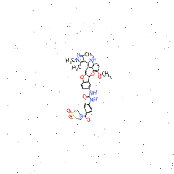 COc1ccc2[nH]c(-c3c(C)nn(C)c3C)c(C=C3Oc4ccc(NC(=O)Nc5ccc(C(=O)N6CCS(=O)(=O)CC6)cc5)cc4C3=O)c2c1